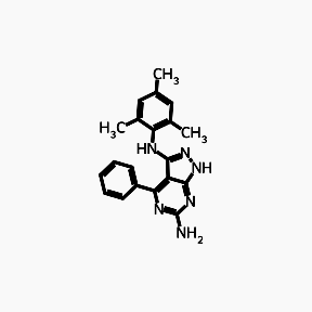 Cc1cc(C)c(Nc2n[nH]c3nc(N)nc(-c4ccccc4)c23)c(C)c1